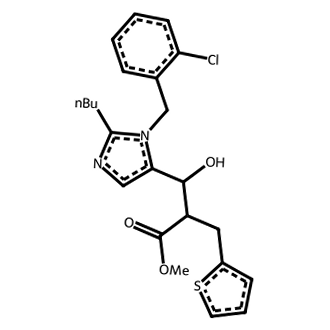 CCCCc1ncc(C(O)C(Cc2cccs2)C(=O)OC)n1Cc1ccccc1Cl